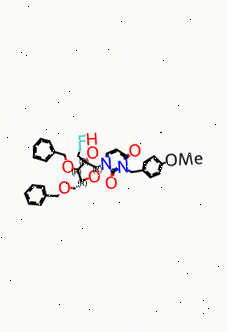 COc1ccc(Cn2c(=O)ccn([C@@H]3O[C@H](COCc4ccccc4)[C@@H](OCc4ccccc4)[C@]3(O)CF)c2=O)cc1